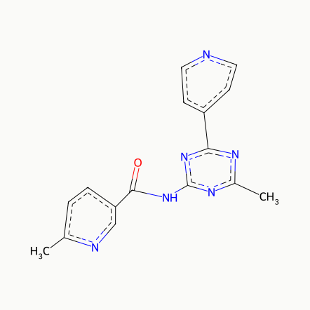 Cc1ccc(C(=O)Nc2nc(C)nc(-c3ccncc3)n2)cn1